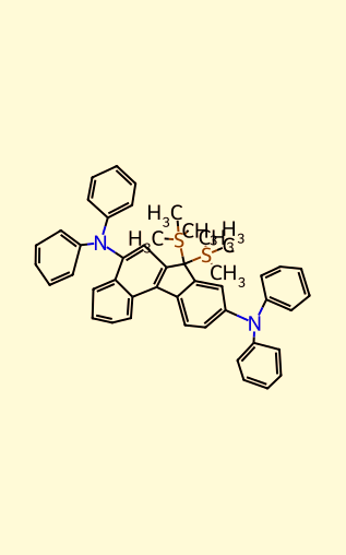 CS(C)(C)C1(S(C)(C)C)c2cc(N(c3ccccc3)c3ccccc3)ccc2-c2c1cc(N(c1ccccc1)c1ccccc1)c1ccccc21